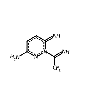 N=C(n1nc(N)ccc1=N)C(F)(F)F